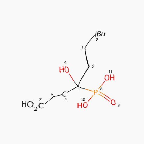 CCC(C)CCC(O)(CCC(=O)O)P(=O)(O)O